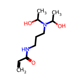 C=CC(=O)NCCCN(C(C)O)C(C)O